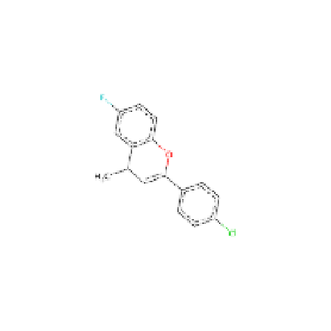 CC1C=C(c2ccc(Cl)cc2)Oc2ccc(F)cc21